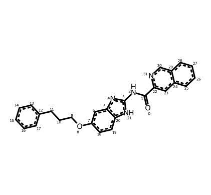 O=C(Nc1nc2cc(OCCCc3ccccc3)ccc2[nH]1)c1cc2ccccc2cn1